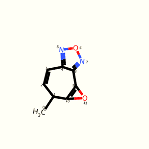 CC1C=Cc2nonc2C2=C1O2